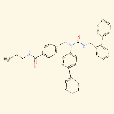 O=C(O)CCNC(=O)c1ccc(CN(C(=O)NCc2ccccc2-c2ccccc2)c2ccc(C3=CCCCC3)cc2)cc1